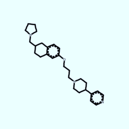 c1cc(C2CCN(CCCOc3ccc4c(c3)CCC(CN3CCCC3)C4)CC2)ccn1